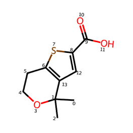 CC1(C)OCCc2sc(C(=O)O)cc21